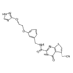 N#CCc1csc2nc(C(=O)NCc3cccc(OCCOc4nc[nH]n4)c3)[nH]c(=O)c12